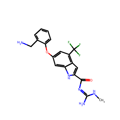 CNC(N)=NC(=O)c1cc2c(C(F)(F)F)cc(Oc3ccccc3CN)cc2[nH]1